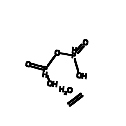 C=C.O.O=[PH](O)O[PH](=O)O